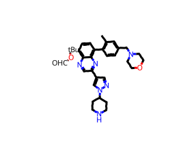 CC(C)(C)OC=O.Cc1cc(CN2CCOCC2)ccc1-c1cccc2ncc(-c3cnn(C4CCNCC4)c3)nc12